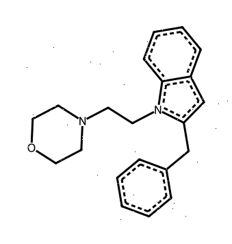 c1ccc(Cc2cc3ccccc3n2CCN2CCOCC2)cc1